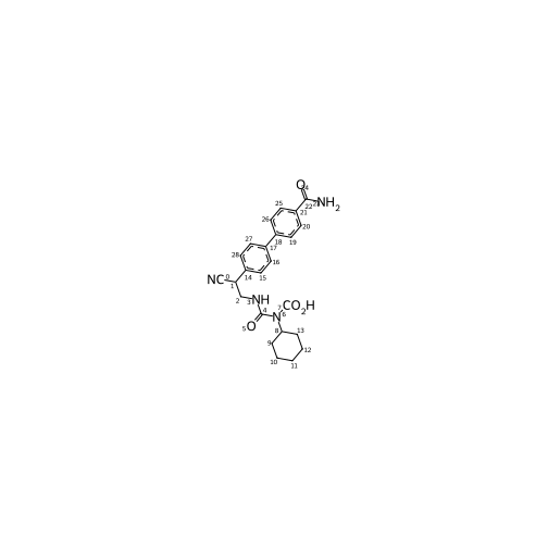 N#CC(CNC(=O)N(C(=O)O)C1CCCCC1)c1ccc(-c2ccc(C(N)=O)cc2)cc1